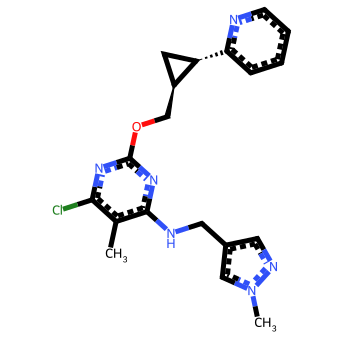 Cc1c(Cl)nc(OC[C@H]2C[C@@H]2c2ccccn2)nc1NCc1cnn(C)c1